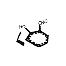 C=CC.O=Cc1ccccc1O